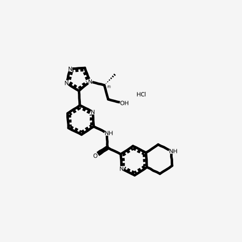 C[C@H](CO)n1cnnc1-c1cccc(NC(=O)c2cc3c(cn2)CCNC3)n1.Cl